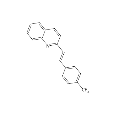 FC(F)(F)c1ccc(C=Cc2ccc3ccccc3n2)cc1